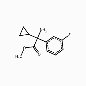 COC(=O)C(N)(c1cccc(F)c1)C1CC1